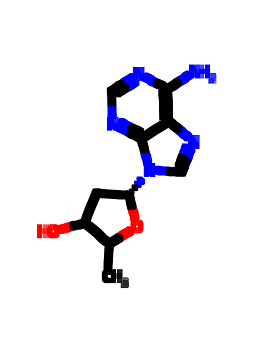 CC1O[C@@H](n2cnc3c(N)ncnc32)CC1O